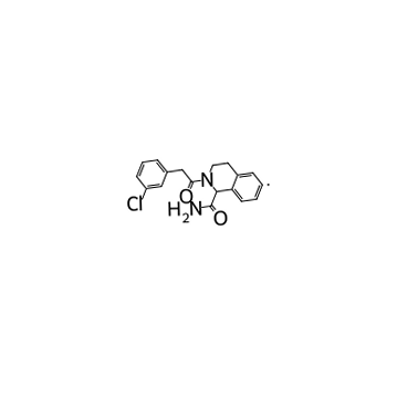 NC(=O)C1c2cc[c]cc2CCN1C(=O)Cc1cccc(Cl)c1